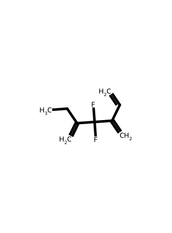 C=CC(=C)C(F)(F)C(=C)CC